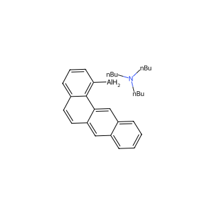 CCCCN(CCCC)CCCC.[AlH2][c]1cccc2ccc3cc4ccccc4cc3c12